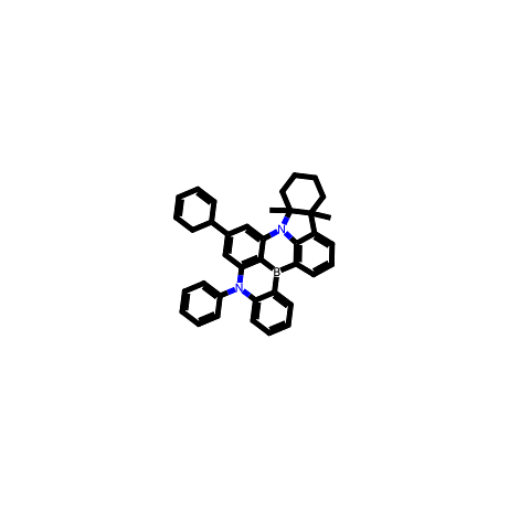 CC12CCCCC1(C)N1c3cc(C4C=CC=CC4)cc4c3B(c3ccccc3N4c3ccccc3)c3cccc2c31